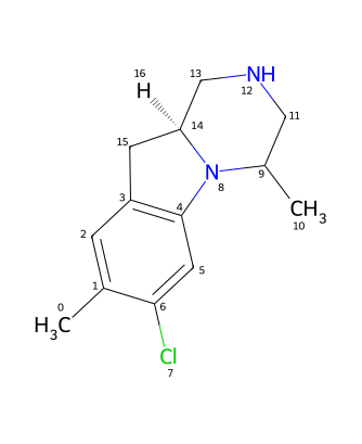 Cc1cc2c(cc1Cl)N1C(C)CNC[C@@H]1C2